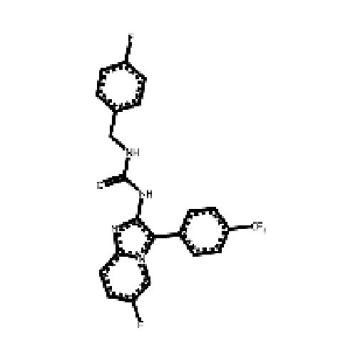 O=C(NCc1ccc(F)cc1)Nc1nc2ccc(F)cn2c1-c1ccc(C(F)(F)F)cc1